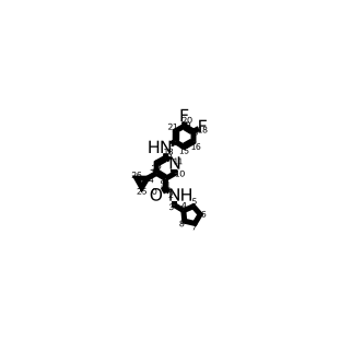 O=C(NCC1CCCC1)c1cnc(Nc2ccc(F)c(F)c2)cc1C1CC1